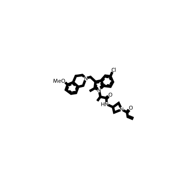 C=CC(=O)N1CC(NC(=O)C(C)n2c(C)c(CN3CCc4c(cccc4OC)C3)c3cc(Cl)ccc32)C1